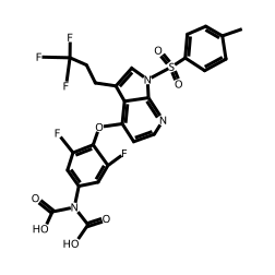 Cc1ccc(S(=O)(=O)n2cc(CCC(F)(F)F)c3c(Oc4c(F)cc(N(C(=O)O)C(=O)O)cc4F)ccnc32)cc1